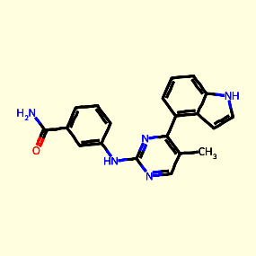 Cc1cnc(Nc2cccc(C(N)=O)c2)nc1-c1cccc2[nH]ccc12